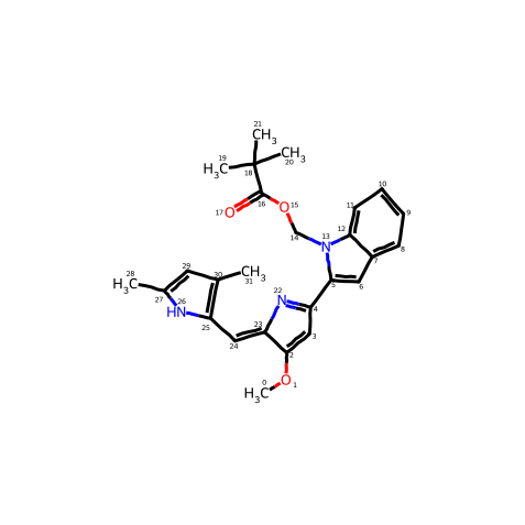 COC1=CC(c2cc3ccccc3n2COC(=O)C(C)(C)C)=NC1=Cc1[nH]c(C)cc1C